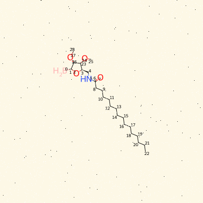 B[C@@H]1O[C@H](CNC(=O)CCCCCCCCCCCCCCC)C(OC)[C@@H]1OC